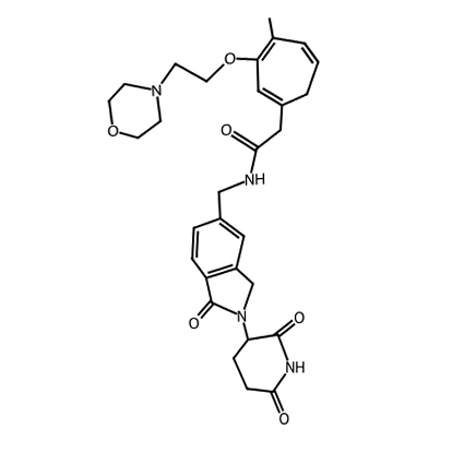 CC1=C(OCCN2CCOCC2)C=C(CC(=O)NCc2ccc3c(c2)CN(C2CCC(=O)NC2=O)C3=O)CC=C1